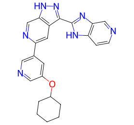 c1cc2[nH]c(-c3n[nH]c4cnc(-c5cncc(OC6CCCCC6)c5)cc34)nc2cn1